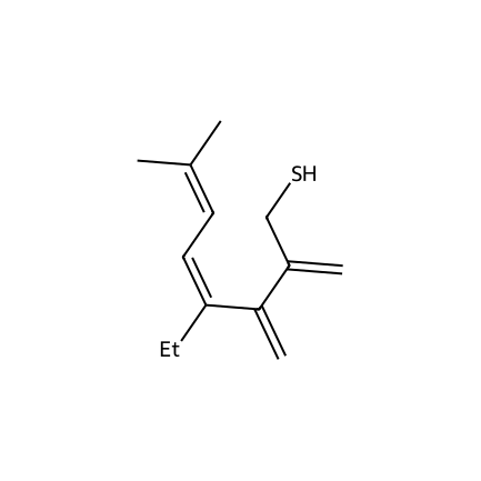 C=C(CS)C(=C)/C(=C\C=C(C)C)CC